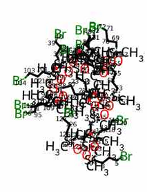 C[Si](C)(CCCBr)O[Si](CCC[Si](C)(C)O[Si](O[Si](C)(C)CCC[Si](O[Si](C)(C)CCCBr)(O[Si](C)(C)CCCBr)O[Si](C)(C)CCCBr)(O[Si](C)(C)CCC[Si](O[Si](C)(C)CCCBr)(O[Si](C)(C)CCCBr)O[Si](C)(C)CCCBr)O[Si](C)(C)CCC[Si](O[Si](C)(C)CCCBr)(O[Si](C)(C)CCCBr)O[Si](C)(C)CCCBr)(O[Si](C)(C)CCCBr)O[Si](C)(C)CCCBr